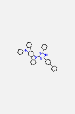 C1=C2c3ccccc3N(c3ccccc3)C2Cc2c1n(C1=NC(c3ccc(-c4ccccc4)cc3)NC(c3ccccc3)=N1)c1ccccc21